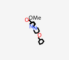 COC(=O)c1ccc(N2CCC(OCC3CCCCC3)CC2)nc1